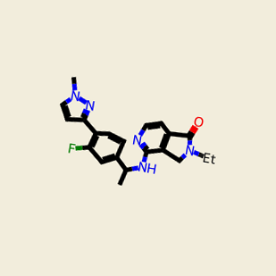 CCN1Cc2c(ccnc2NC(C)c2ccc(-c3ccn(C)n3)c(F)c2)C1=O